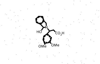 COc1ccc(C(CC(=O)O)N2Cc3ccccc3C2O)cc1OC